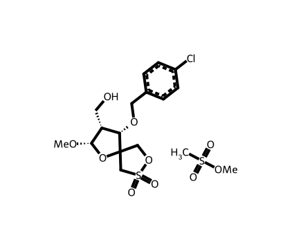 COS(C)(=O)=O.CO[C@H]1OC2(COS(=O)(=O)C2)[C@@H](OCc2ccc(Cl)cc2)[C@H]1CO